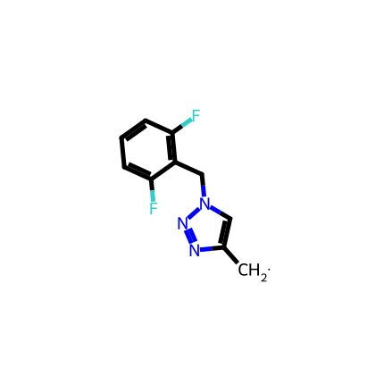 [CH2]c1cn(Cc2c(F)cccc2F)nn1